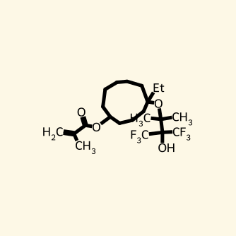 C=C(C)C(=O)OC1CCCCCC(CC)(OC(C)(C)C(O)(C(F)(F)F)C(F)(F)F)CCC1